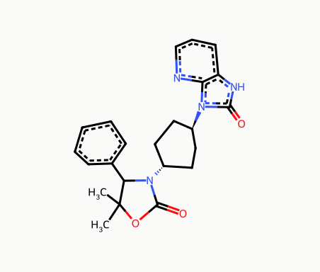 CC1(C)OC(=O)N([C@H]2CC[C@H](n3c(=O)[nH]c4cccnc43)CC2)C1c1ccccc1